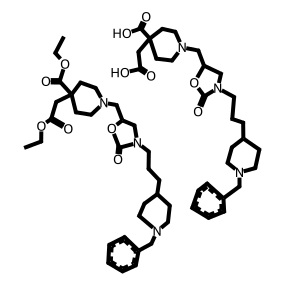 CCOC(=O)CC1(C(=O)OCC)CCN(CC2CN(CCCC3CCN(Cc4ccccc4)CC3)C(=O)O2)CC1.O=C(O)CC1(C(=O)O)CCN(CC2CN(CCCC3CCN(Cc4ccccc4)CC3)C(=O)O2)CC1